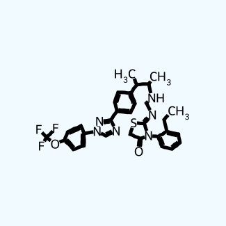 CCc1ccccc1N1C(=O)CS/C1=N\CNC(C)C(C)c1ccc(-c2ncn(-c3ccc(OC(F)(F)F)cc3)n2)cc1